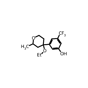 CCOC1(c2cc(O)cc(C(F)(F)F)c2)CCOC(C)C1